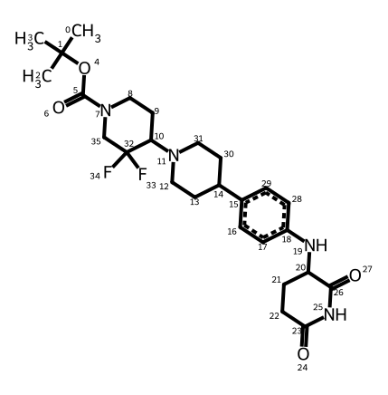 CC(C)(C)OC(=O)N1CCC(N2CCC(c3ccc(NC4CCC(=O)NC4=O)cc3)CC2)C(F)(F)C1